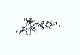 CO[C@]12CC(COS(=O)(=O)c3ccc(C)cc3)CN(C)[C@@H]1Cc1cn(C)c3cccc2c13